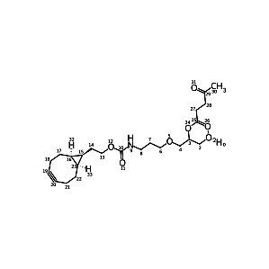 [2H]OCC(COCCCNC(=O)OCC[C@@H]1[C@@H]2CCC#CCC[C@@H]21)OC(=O)CCC(C)=O